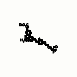 CCOC(=O)CCc1ccc2c3c(c(N)nc2c1)NCC(CCc1ccc(OCCOCCC(F)(F)P=O)cc1C)=C3